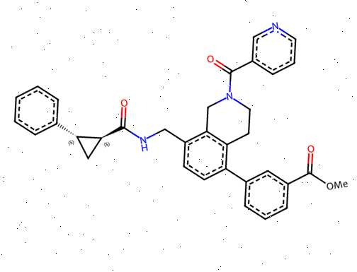 COC(=O)c1cccc(-c2ccc(CNC(=O)[C@H]3C[C@@H]3c3ccccc3)c3c2CCN(C(=O)c2cccnc2)C3)c1